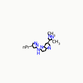 CCCc1cnnc(Nc2ccc3ncc(-c4cn(C)nc4C)cc3n2)c1